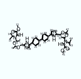 CCO[C@H](CC(=O)N(NC(=O)OC)C(C)C)c1ncc(-c2ccc(-c3ccc(-c4cnc([C@@H](CC(=O)N(NC(=O)OC)C(C)C)OCC)[nH]4)cc3)cc2)[nH]1